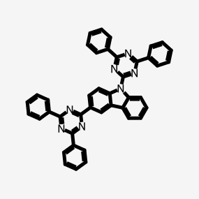 c1ccc(-c2nc(-c3ccccc3)nc(-c3ccc4c(c3)c3ccccc3n4-c3nc(-c4ccccc4)nc(-c4ccccc4)n3)n2)cc1